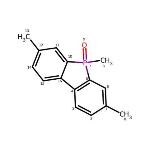 Cc1ccc2c(c1)P(C)(=O)c1cc(C)ccc1-2